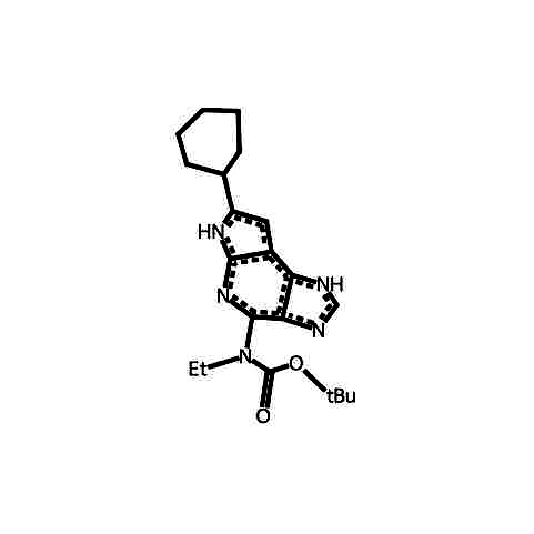 CCN(C(=O)OC(C)(C)C)c1nc2[nH]c(C3CCCCC3)cc2c2[nH]cnc12